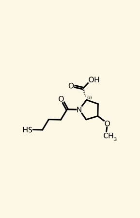 COC1C[C@@H](C(=O)O)N(C(=O)CCCS)C1